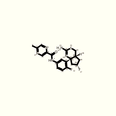 Cc1cnc(C(=O)Nc2ccc(F)c([C@]34C[C@@H](F)C[C@H]3CSC(N)=N4)c2)cn1